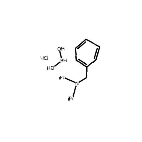 CC(C)N(Cc1ccccc1)C(C)C.Cl.OBO